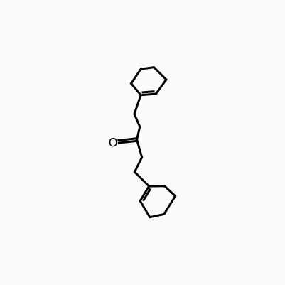 O=C(CCC1=CCCCC1)CCC1=CCCCC1